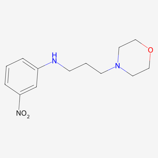 O=[N+]([O-])c1cccc(NCCCN2CCOCC2)c1